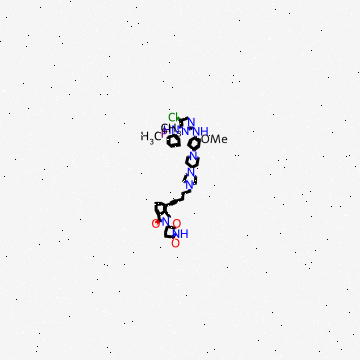 COc1cc(N2CCC(N3CCN(CCCC#Cc4cccc5c4CN(C4CCC(=O)NC4=O)C5=O)CC3)CC2)ccc1Nc1ncc(Cl)c(Nc2ccccc2P(C)C)n1